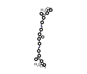 CC1(C)c2ccccc2-c2ccc(-n3c4ccccc4c4cc(-c5ccc(/C=C/c6ccc(-c7ccc8c(c7)C7(CCCC7)c7cc(-c9ccc(/C=C/c%10ccc(-c%11ccc%12c(c%11)c%11ccccc%11n%12-c%11ccc%12c(c%11)C(C)(C)c%11ccccc%11-%12)cc%10)cc9)ccc7-8)cc6)cc5)ccc43)cc21